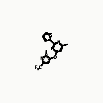 Cc1cc(Oc2cc(C(F)(F)F)nn2C)nc(-c2cccs2)n1